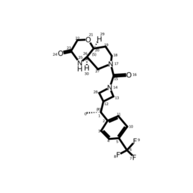 C[C@@H](c1ccc(C(F)(F)F)cc1)C1CN(C(=O)N2CC[C@@H]3OCC(=O)N[C@@H]3C2)C1